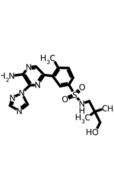 Cc1ccc(S(=O)(=O)NCC(C)(C)CO)cc1-c1cnc(N)c(-n2cncn2)n1